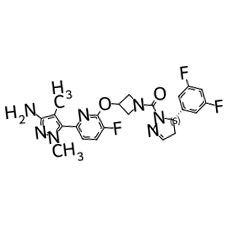 Cc1c(N)nn(C)c1-c1ccc(F)c(OC2CN(C(=O)N3N=CC[C@H]3c3cc(F)cc(F)c3)C2)n1